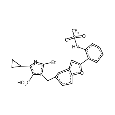 CCc1nc(C2CC2)c(C(=O)O)n1Cc1ccc2oc(-c3ccccc3NS(=O)(=O)C(F)(F)F)cc2c1